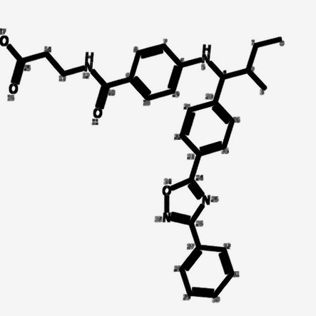 CCC(C)C(Nc1ccc(C(=O)NCCC(=O)O)cc1)c1ccc(-c2nc(-c3ccccc3)no2)cc1